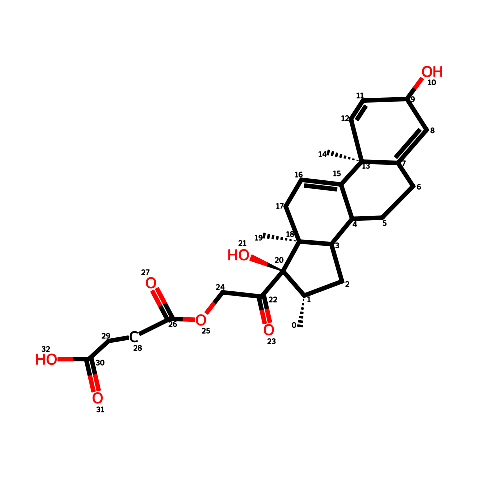 C[C@H]1CC2C3CCC4=CC(O)C=C[C@]4(C)C3=CC[C@]2(C)[C@@]1(O)C(=O)COC(=O)CCC(=O)O